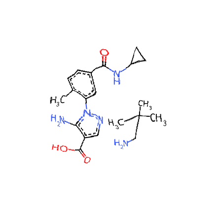 CC(C)(C)CN.Cc1ccc(C(=O)NC2CC2)cc1-n1ncc(C(=O)O)c1N